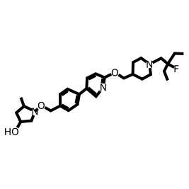 CCC(F)(CC)CN1CCC(COc2ccc(-c3ccc(CON4CC(O)CC4C)cc3)cn2)CC1